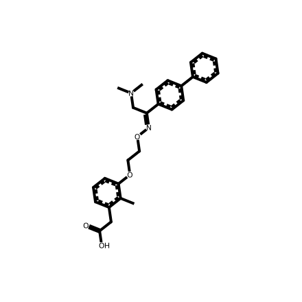 Cc1c(CC(=O)O)cccc1OCCO/N=C(\CN(C)C)c1ccc(-c2ccccc2)cc1